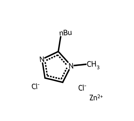 CCCCc1nccn1C.[Cl-].[Cl-].[Zn+2]